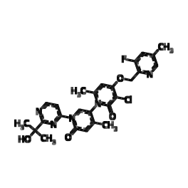 Cc1cnc(COc2cc(C)n(-c3cn(-c4ccnc(C(C)(C)O)n4)c(=O)cc3C)c(=O)c2Cl)c(F)c1